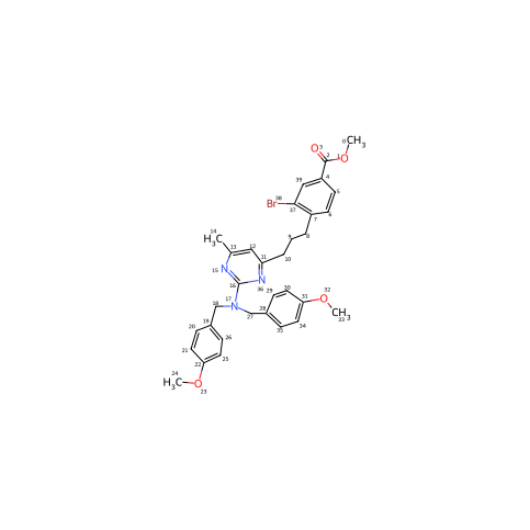 COC(=O)c1ccc(CCCc2cc(C)nc(N(Cc3ccc(OC)cc3)Cc3ccc(OC)cc3)n2)c(Br)c1